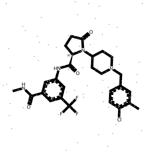 CNC(=O)c1cc(NC(=O)[C@H]2CCC(=O)N2C2CCN(Cc3ccc(Cl)c(C)c3)CC2)cc(C(F)(F)F)c1